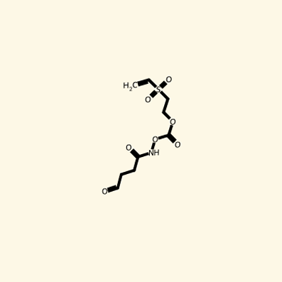 C=CS(=O)(=O)CCOC(=O)ONC(=O)CCC=O